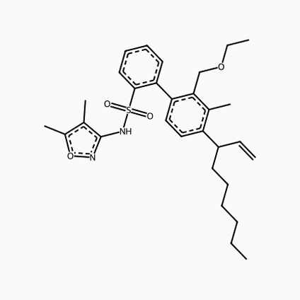 C=CC(CCCCCC)c1ccc(-c2ccccc2S(=O)(=O)Nc2noc(C)c2C)c(COCC)c1C